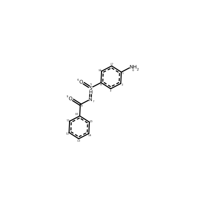 Nc1ccc(/[SH](=O)=N/C(=O)c2ccccc2)cc1